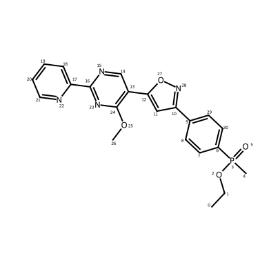 CCOP(C)(=O)c1ccc(-c2cc(-c3cnc(-c4ccccn4)nc3OC)on2)cc1